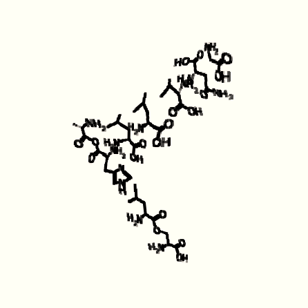 CC(C)C[C@H](N)C(=O)O.CC(C)C[C@H](N)C(=O)O.CC(C)C[C@H](N)C(=O)OC[C@H](N)C(=O)O.CC(C)[C@H](N)C(=O)O.C[C@H](N)C(=O)OC(=O)[C@@H](N)Cc1c[nH]cn1.NC(=O)C[C@H](N)C(=O)O.NCC(=O)O